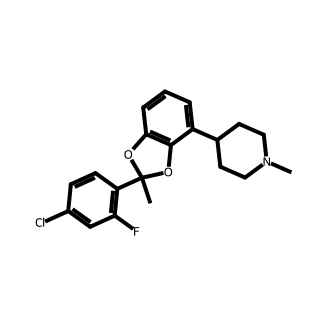 CN1CCC(c2cccc3c2OC(C)(c2ccc(Cl)cc2F)O3)CC1